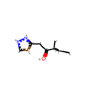 C/C=C(\C)C(=O)Cc1nncs1